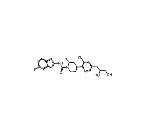 C[C@H]1CN(c2ncc(C[C@H](O)CO)cc2Cl)CCN1C(=O)Nc1nc2ccc(F)cc2s1